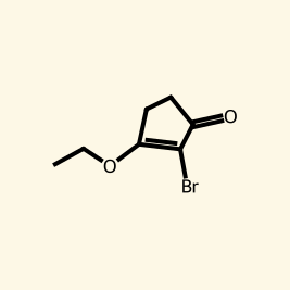 CCOC1=C(Br)C(=O)CC1